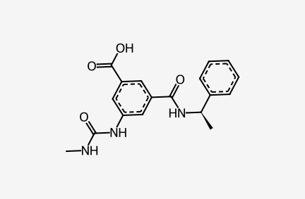 CNC(=O)Nc1cc(C(=O)O)cc(C(=O)N[C@H](C)c2ccccc2)c1